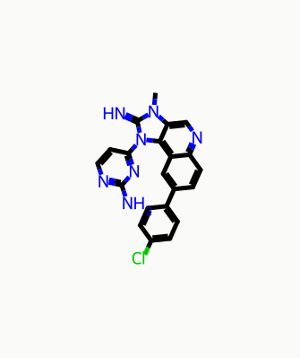 Cn1c(=N)n(-c2ccnc(N)n2)c2c3cc(-c4ccc(Cl)cc4)ccc3ncc21